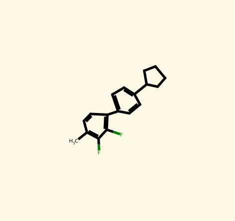 Cc1ccc(-c2ccc(C3CCCC3)cc2)c(F)c1F